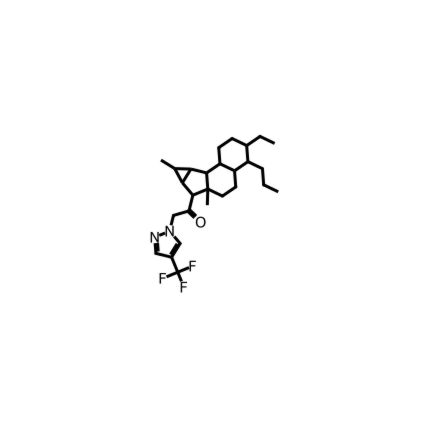 CCCC1C(CC)CCC2C1CCC1(C)C(C(=O)Cn3cc(C(F)(F)F)cn3)C3C(C)C3C21